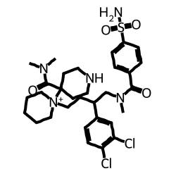 CN(C)C(=O)C1([N+]2(CCC(CN(C)C(=O)c3ccc(S(N)(=O)=O)cc3)c3ccc(Cl)c(Cl)c3)CCCCC2)CCNCC1